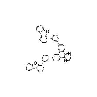 c1cc(-c2ccc3c(c2)c2cc(-c4cccc(-c5cccc6c5oc5ccccc56)c4)ccc2c2nccnc32)cc(-c2cccc3c2oc2ccccc23)c1